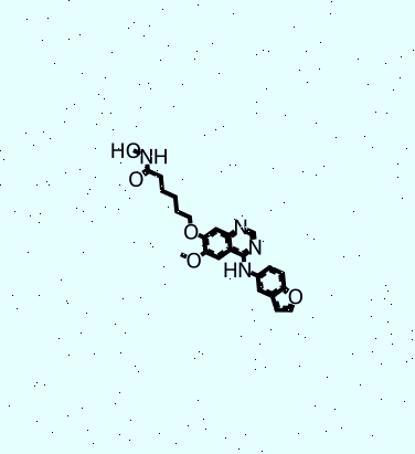 COc1cc2c(Nc3ccc4occc4c3)ncnc2cc1OCCCCCC(=O)NO